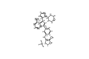 CC(C)(C)[C@H]1COC(=O)N1Cc1cccc(-c2cc(-c3ccnn3C3CCOCC3)c3c(N)ncnn23)c1